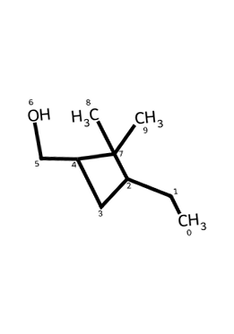 CCC1CC(CO)C1(C)C